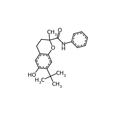 CC1(C(=O)Nc2ccccc2)CCc2cc(O)c(C(C)(C)C)cc2O1